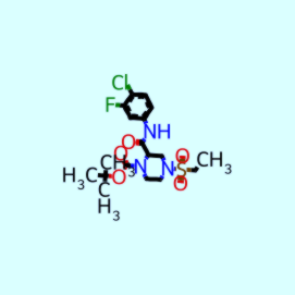 CCS(=O)(=O)N1CCN(C(=O)OC(C)(C)C)C(C(=O)Nc2ccc(Cl)c(F)c2)C1